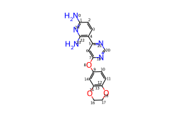 Nc1ccc(-c2cc(Oc3ccc4c(c3)OCCO4)ncn2)c(N)n1